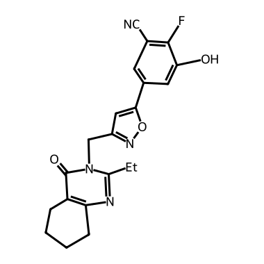 CCc1nc2c(c(=O)n1Cc1cc(-c3cc(O)c(F)c(C#N)c3)on1)CCCC2